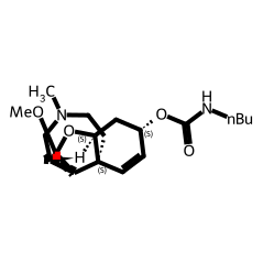 CCCCNC(=O)O[C@@H]1C=C[C@@]23CCN(C)Cc4ccc(OC)c(c42)O[C@H]3C1